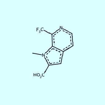 Cn1c(C(=O)O)cc2ccnc(C(F)(F)F)c21